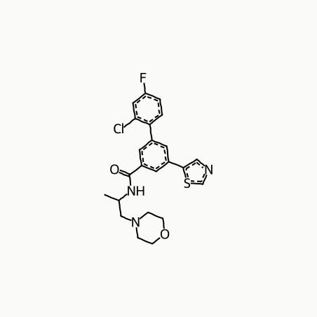 CC(CN1CCOCC1)NC(=O)c1cc(-c2cncs2)cc(-c2ccc(F)cc2Cl)c1